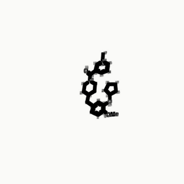 COc1ccc(CC2CCN(C(=O)c3ccc[n+](C)c3)CC2)cc1OC1CCCC1